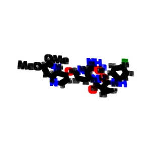 COc1cc2nccc(Oc3ccc(NC(=O)C4(C(=O)Nc5ccc(F)cc5)CC4)c(C(N)=O)n3)c2nc1OC